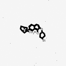 CCC1CCC(Oc2ccc3ccc(CN4C5CCC4CC(C(=O)O)C5)cc3c2Cl)CC1